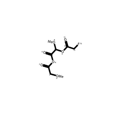 COCC(=O)OC(=O)C(OC)OC(=O)CF